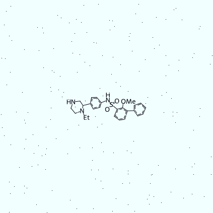 CCN1CCNCC1c1ccc(NS(=O)(=O)c2cccc(-c3ccccc3)c2OC)cc1